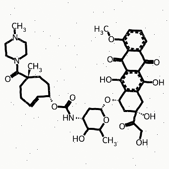 COc1cccc2c1C(=O)c1c(O)c3c(c(O)c1C2=O)C[C@@](O)(C(=O)CO)C[C@@H]3O[C@H]1C[C@@H](NC(=O)O[C@@H]2/C=C/CC[C@](C)(C(=O)N3CCN(C)CC3)CC2)C(O)C(C)O1